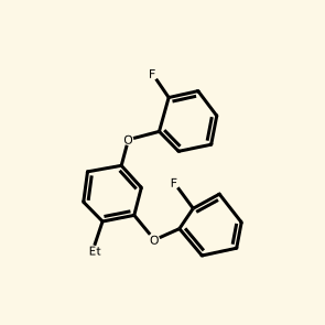 CCc1ccc(Oc2ccccc2F)cc1Oc1ccccc1F